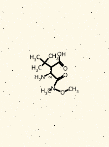 CON(C)C(=O)[C@@H](N)C(C(=O)O)C(C)(C)C